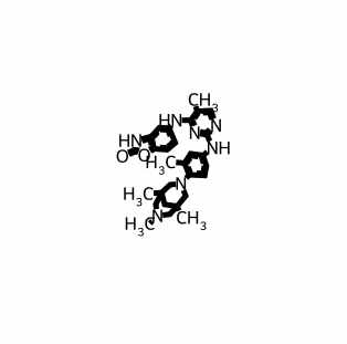 Cc1cc(Nc2ncc(C)c(Nc3ccc4oc(=O)[nH]c4c3)n2)ccc1N1CC2(C)CN(C)CC(C)(C1)C2